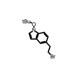 CC(C)(C)On1ccc2cc(CCBr)ccc21